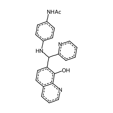 CC(=O)Nc1ccc(NC(c2ccccn2)c2ccc3cccnc3c2O)cc1